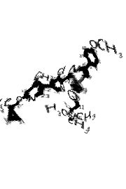 COc1ccc(-c2cn(COCC[Si](C)(C)C)c(-c3ncc(-c4cnc(OCC5(C)CC5)cc4C)cc3Cl)n2)cc1